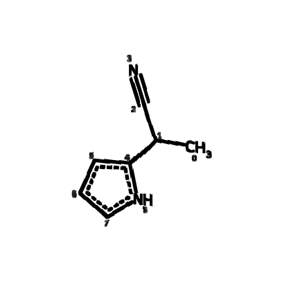 CC(C#N)c1ccc[nH]1